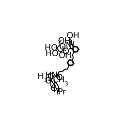 CC(C)N1CCN(C(=O)C(C)(C)NC(=O)CCCCc2ccc(CCc3cccc4c3c(O[C@@H]3O[C@H](CO)[C@@H](O)[C@H](O)[C@H]3O)nn4CCO)cc2)CC1